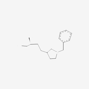 C[C@H](CO)CCC1CCN(Cc2ccccc2)C1